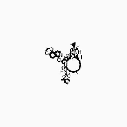 CCC(C)(CC)OC(=O)N[C@@H]1C(=O)N2C[C@H](Oc3nccc4c5c(ccc34)OCCO5)C[C@H]2C(=O)N[C@]2(C(=O)NS(=O)(=O)C3CC3)C[C@H]2/C=C\CC[C@@H](C)C[C@H]1C